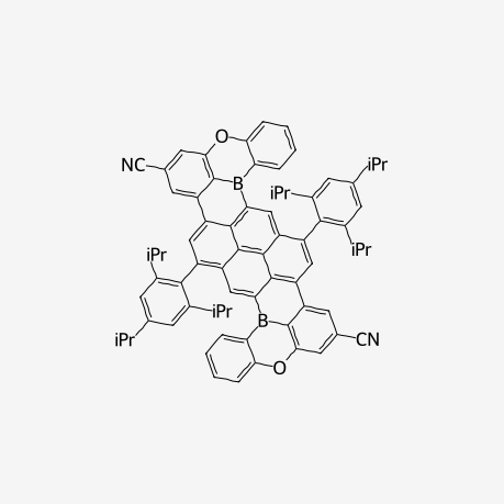 CC(C)c1cc(C(C)C)c(-c2cc3c4c(cc5c(-c6c(C(C)C)cc(C(C)C)cc6C(C)C)cc6c7c(cc2c4c57)B2c4ccccc4Oc4cc(C#N)cc-6c42)B2c4ccccc4Oc4cc(C#N)cc-3c42)c(C(C)C)c1